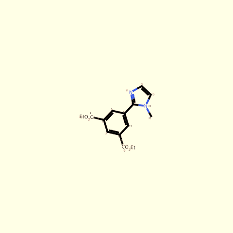 CCOC(=O)c1cc(C(=O)OCC)cc(-c2nccn2C)c1